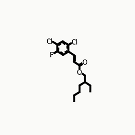 CCCCC(CC)COC(=O)/C=C/c1cc(F)c(Cl)cc1Cl